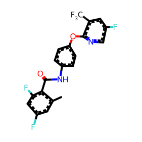 Cc1cc(F)cc(F)c1C(=O)Nc1ccc(Oc2ncc(F)cc2C(F)(F)F)cc1